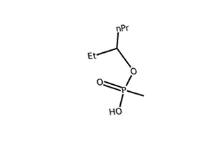 CCCC(CC)OP(C)(=O)O